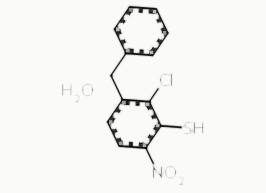 O.O=[N+]([O-])c1ccc(Cc2ccccc2)c(Cl)c1S